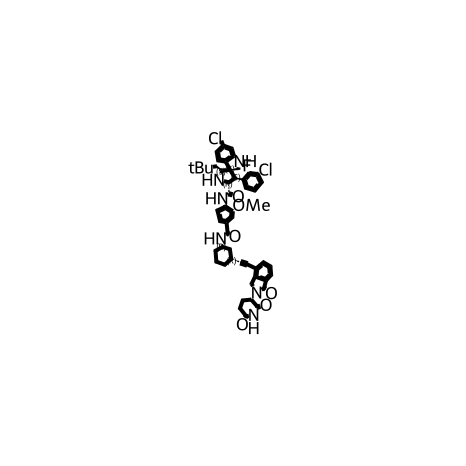 COc1cc(C(=O)N[C@@H]2CCC[C@@H](C#Cc3cccc4c3CN(C3CCC(=O)NC3=O)C4=O)C2)ccc1NC(=O)[C@@H]1N[C@@H](CC(C)(C)C)[C@@]2(CNc3cc(Cl)ccc32)[C@H]1c1cccc(Cl)c1F